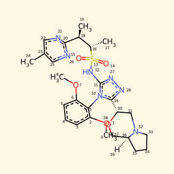 COc1cccc(OC)c1-n1c(NS(=O)(=O)[C@@H](C)[C@H](C)c2ncc(C)cn2)nnc1[C@@H]1CN2CCC[C@H]2CO1